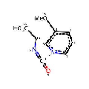 COc1cccnc1.O=C=NCC(=O)O